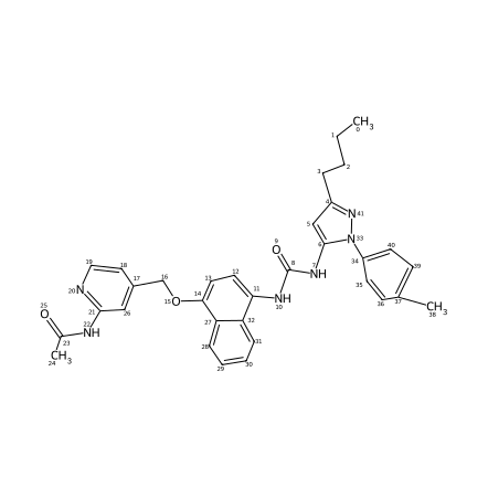 CCCCc1cc(NC(=O)Nc2ccc(OCc3ccnc(NC(C)=O)c3)c3ccccc23)n(-c2ccc(C)cc2)n1